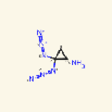 N.[N-]=[N+]=NC1(N=[N+]=[N-])CC1